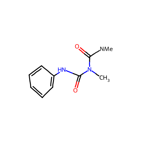 CNC(=O)N(C)C(=O)Nc1ccccc1